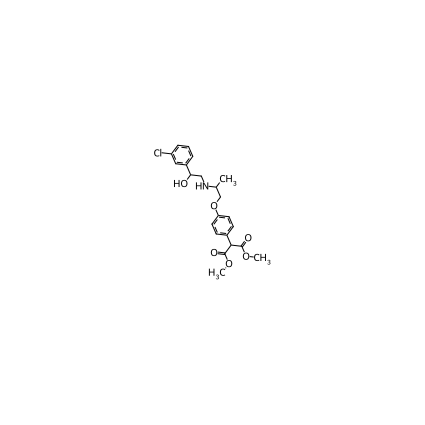 COC(=O)C(C(=O)OC)c1ccc(OCC(C)NCC(O)c2cccc(Cl)c2)cc1